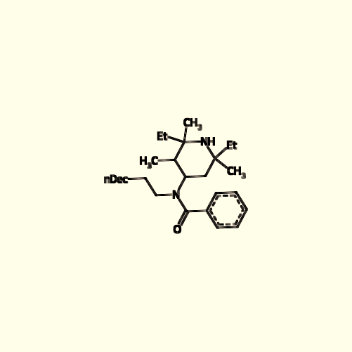 CCCCCCCCCCCCN(C(=O)c1ccccc1)C1CC(C)(CC)NC(C)(CC)C1C